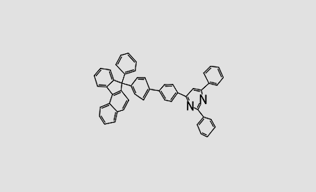 c1ccc(-c2cc(-c3ccc(-c4ccc(C5(c6ccccc6)c6ccccc6-c6c5ccc5ccccc65)cc4)cc3)nc(-c3ccccc3)n2)cc1